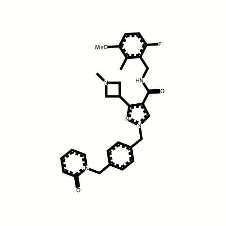 COc1ccc(F)c(CNC(=O)c2cn(Cc3ccc(Cn4ccccc4=O)cc3)nc2C2CN(C)C2)c1C